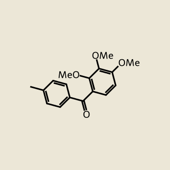 COc1ccc(C(=O)c2ccc(C)cc2)c(OC)c1OC